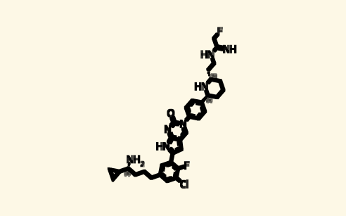 N=C(CF)NCC[C@@H]1CCC[C@@H](c2ccc(-n3cc4cc(-c5cc(CCC[C@@H](N)C6CC6)cc(Cl)c5F)[nH]c4nc3=O)cc2)N1